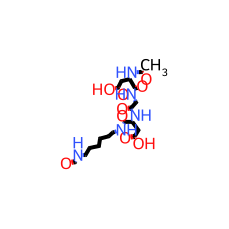 CC(=O)NC(CC(=O)O)C(=O)NCC(=O)NC(CC(=O)O)C(=O)NCCCCCCNC=O